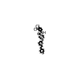 O=C(Nc1ccc(Cl)c(Cl)c1)N1CCN(C[C@@H]2CCCN(CCC3CCSCC3)C2)CC1